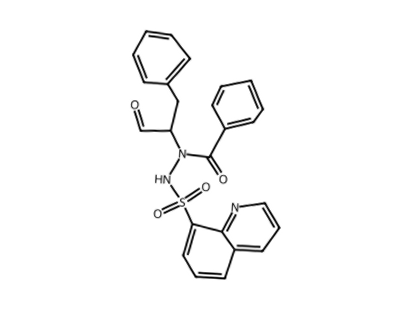 O=CC(Cc1ccccc1)N(NS(=O)(=O)c1cccc2cccnc12)C(=O)c1ccccc1